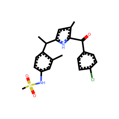 Cc1cc(NS(C)(=O)=O)ccc1C(C)c1cc(C)c(C(=O)c2ccc(Cl)cc2)[nH]1